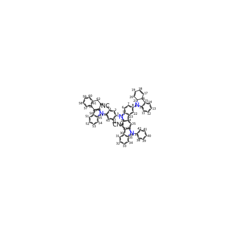 N#Cc1cc(-n2c3ccc(N4c5ccccc5C5C=CC=CC54)cc3c3cc4c(cc32)c2ccccc2n4-c2ccccc2)c(C#N)cc1-n1c2c(c3ccccc31)-c1ccccc1CC2